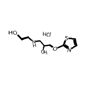 Cl.OCCNCC(O)COc1nccs1